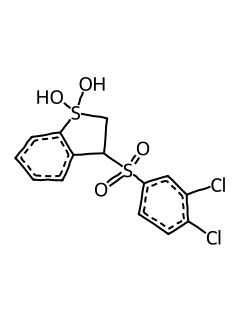 O=S(=O)(c1ccc(Cl)c(Cl)c1)C1CS(O)(O)c2ccccc21